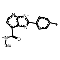 CC(C)(C)NC(=O)c1ccnc2[nH]c(-c3ccc(F)cc3)nc12